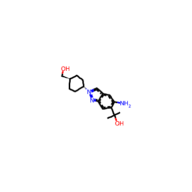 CC(C)(O)c1cc2nn([C@H]3CC[C@H](CO)CC3)cc2cc1N